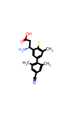 Cc1cc(-c2c(C)cc(C#N)cc2C)cc([C@@H](N)CC(=O)O)c1F